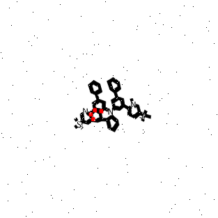 CN1CC([Si](C)(C)C)=CC=C1c1cc(-c2ccccc2)cc(N(c2cc(-c3ccccc3)cc(-c3ccc([Si](C)(C)C)cn3)c2)c2ccccc2-c2ccccc2)c1